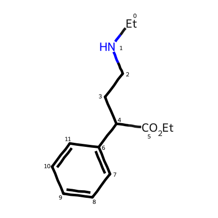 CCNCCC(C(=O)OCC)c1ccccc1